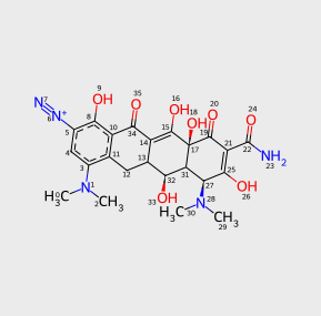 CN(C)c1cc([N+]#N)c(O)c2c1CC1C(=C(O)[C@]3(O)C(=O)C(C(N)=O)=C(O)[C@@H](N(C)C)C3[C@H]1O)C2=O